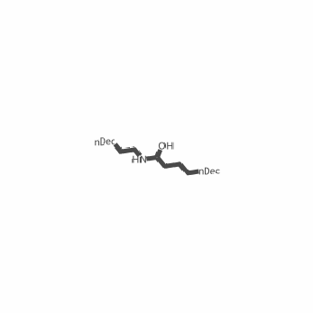 CCCCCCCCCCCCCC(O)NCCCCCCCCCCCC